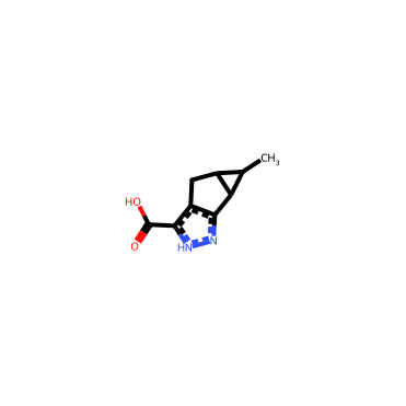 CC1C2Cc3c(n[nH]c3C(=O)O)C12